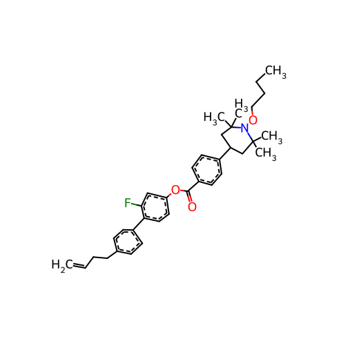 C=CCCc1ccc(-c2ccc(OC(=O)c3ccc(C4CC(C)(C)N(OCCCC)C(C)(C)C4)cc3)cc2F)cc1